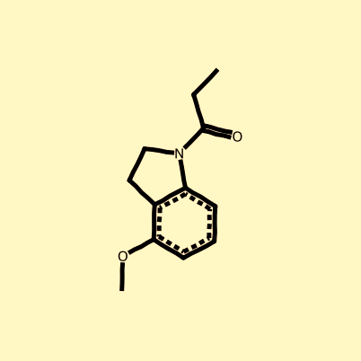 CCC(=O)N1CCc2c(OC)cccc21